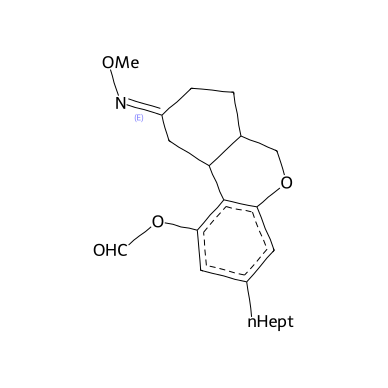 CCCCCCCc1cc(OC=O)c2c(c1)OCC1CC/C(=N\OC)CC21